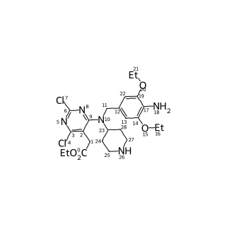 CCOC(=O)Cc1c(Cl)nc(Cl)nc1N(Cc1cc(OCC)c(N)c(OCC)c1)C1CCNCC1